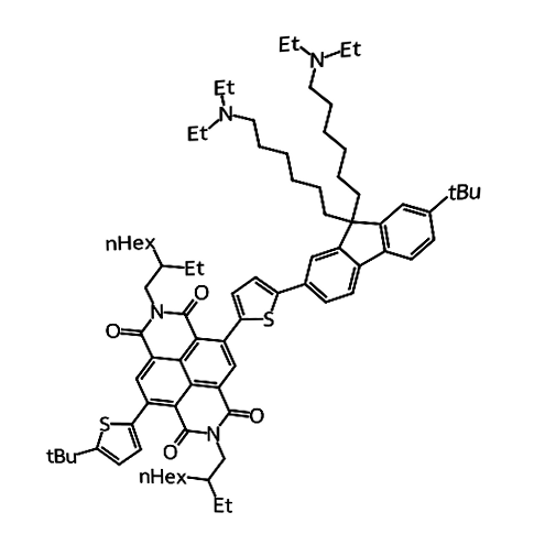 CCCCCCC(CC)CN1C(=O)c2cc(-c3ccc(C(C)(C)C)s3)c3c4c(cc(-c5ccc(-c6ccc7c(c6)C(CCCCCCN(CC)CC)(CCCCCCN(CC)CC)c6cc(C(C)(C)C)ccc6-7)s5)c(c24)C1=O)C(=O)N(CC(CC)CCCCCC)C3=O